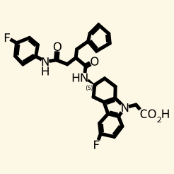 O=C(O)Cn1c2c(c3cc(F)ccc31)C[C@@H](NC(=O)C(CC(=O)Nc1ccc(F)cc1)Cc1ccccc1)CC2